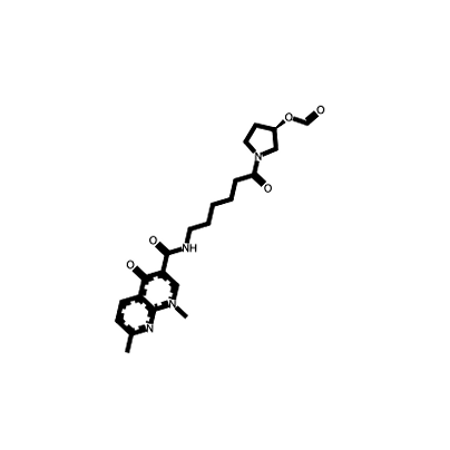 Cc1ccc2c(=O)c(C(=O)NCCCCCC(=O)N3CC[C@@H](OC=O)C3)cn(C)c2n1